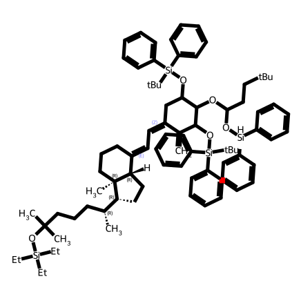 C=C1/C(=C\C=C2/CCC[C@]3(C)[C@@H]([C@H](C)CCCC(C)(C)O[Si](CC)(CC)CC)CC[C@@H]23)CC(O[Si](c2ccccc2)(c2ccccc2)C(C)(C)C)C(OC(CCC(C)(C)C)O[SiH](c2ccccc2)c2ccccc2)C1O[Si](c1ccccc1)(c1ccccc1)C(C)(C)C